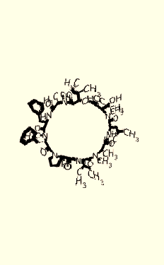 CCC(C)C1NC(=O)[C@@H]2CCCN2C(=O)[C@H](Cc2ccccc2)N(C)C(=O)C(Cc2ccccc2)NC(=O)[C@H](C)N(C)C(=O)C([C@H](C)CC)OC(=O)C(C(C)(C)O)N(C)C(=O)C(CC(C)C)NC(=O)[C@H](C)N(C)C1=O